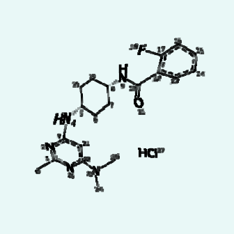 Cc1nc(N[C@H]2CC[C@@H](NC(=O)c3ccccc3F)CC2)cc(N(C)C)n1.Cl